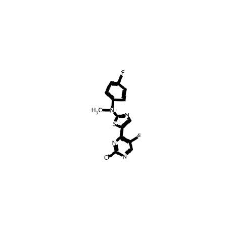 CN(c1ccc(F)cc1)c1ncc(-c2nc(Cl)ncc2F)s1